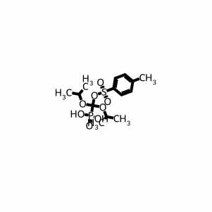 Cc1ccc(S(=O)(=O)OC(OC(C)C)(OC(C)C)P(=O)(O)O)cc1